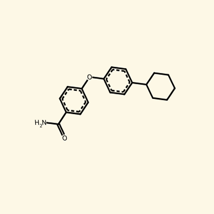 NC(=O)c1ccc(Oc2ccc(C3CCCCC3)cc2)cc1